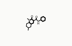 CC1CCc2c(cc(C(=O)Nc3ccccc3)c(=O)n2C)C1